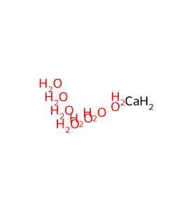 O.O.O.O.O.O.O.[CaH2]